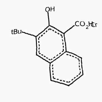 CC(C)(C)c1cc2ccccc2c(C(=O)O)c1O.[Cr]